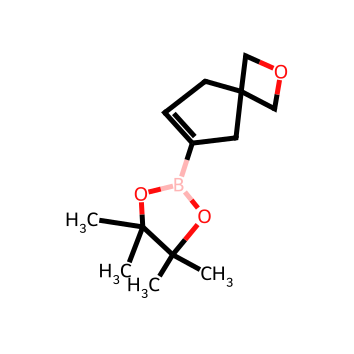 CC1(C)OB(C2=CCC3(COC3)C2)OC1(C)C